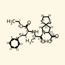 CCOC(=O)[C@H](CSc1ccccc1)N[C@@H](C)C(=O)N1CC2(CC1C(=O)O)SCCS2